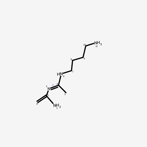 C=C(N)/N=C(\C)NCCCCN